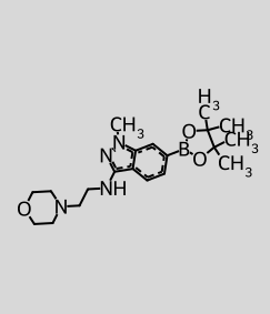 Cn1nc(NCCN2CCOCC2)c2ccc(B3OC(C)(C)C(C)(C)O3)cc21